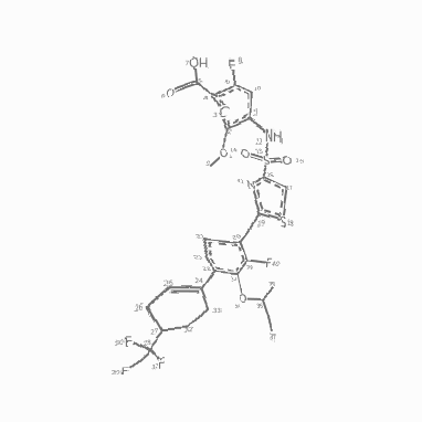 COc1cc(C(=O)O)c(F)cc1NS(=O)(=O)c1csc(-c2ccc(C3=CCC(C(F)(F)F)CC3)c(OC(C)C)c2F)n1